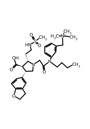 CCCCN(C(=O)CN1C[C@H](c2ccc3c(c2)CCO3)[C@@H](C(=O)O)[C@@H]1CCNS(C)(=O)=O)c1cccc(C[N+](C)(C)C)c1